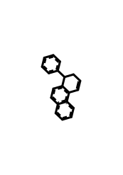 C1=Cc2c(ccc3ccccc23)C(c2ccccc2)C1